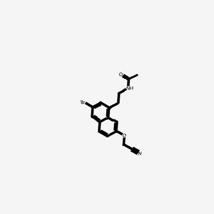 CC(=O)NCCc1cc(Br)cc2ccc(OCC#N)cc12